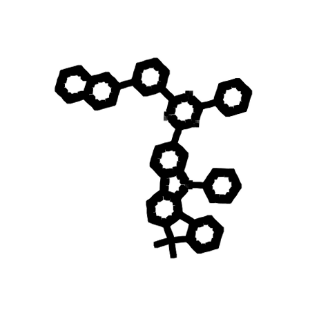 CC1(C)c2ccccc2-c2c1ccc1c3ccc(-c4nc(-c5ccccc5)nc(-c5cccc(-c6ccc7ccccc7c6)c5)n4)cc3n(-c3ccccc3)c21